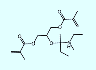 C=C(C)C(=O)OCC(COC(=O)C(=C)C)OC(C)(CC)[SiH](C)CC